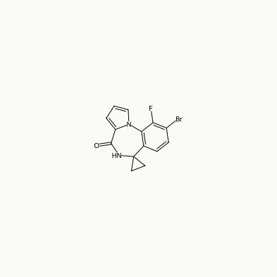 O=C1NC2(CC2)c2ccc(Br)c(F)c2-n2cccc21